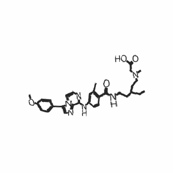 CCC(CCNC(=O)c1ccc(Nc2nccn3c(-c4ccc(OC)cc4)cnc23)cc1C)CCN(C)CC(=O)O